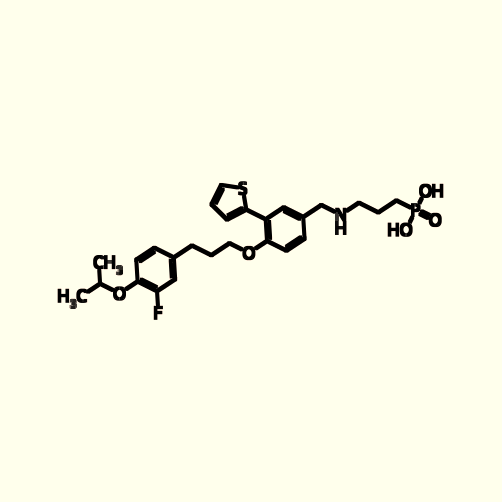 CC(C)Oc1ccc(CCCOc2ccc(CNCCCP(=O)(O)O)cc2-c2cccs2)cc1F